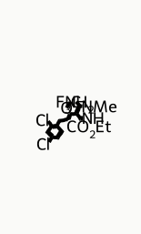 CCOC(=O)/C(Cc1ccc(Cl)cc1Cl)=C(ON)\C(C=N)=C(\NC)C(F)(F)F